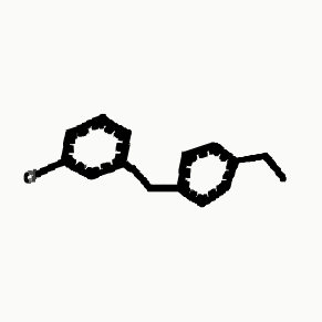 CCc1ccc(Cc2cccc(Cl)c2)cc1